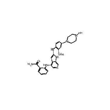 CCCN1CCN(c2ccc(Nc3cc4c(Nc5ccccc5C(N)=O)cncc4[nH]3)c(OC)c2)CC1